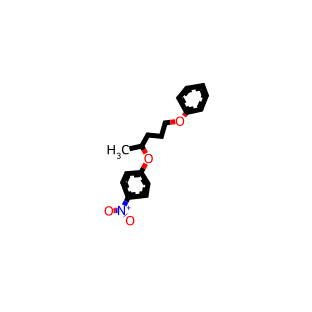 CC(CCCOc1ccccc1)Oc1ccc([N+](=O)[O-])cc1